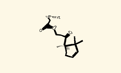 CCCCCC(=O)OCC(=O)[C@]1(C)CC=CC1(C)C